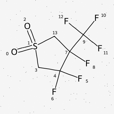 O=S1(=O)CC(F)(F)C(F)(C(F)(F)F)C1